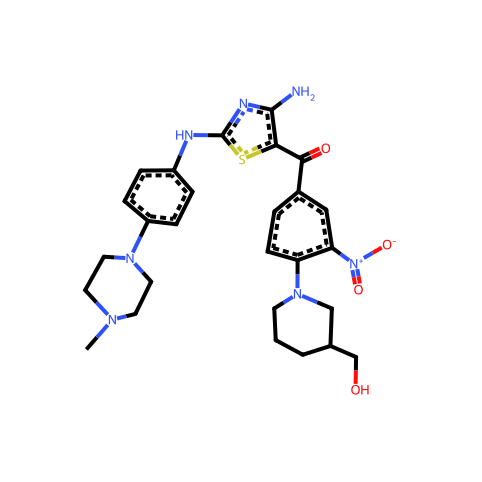 CN1CCN(c2ccc(Nc3nc(N)c(C(=O)c4ccc(N5CCCC(CO)C5)c([N+](=O)[O-])c4)s3)cc2)CC1